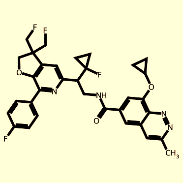 Cc1cc2cc(C(=O)NCC(c3cc4c(c(-c5ccc(F)cc5)n3)OCC4(CF)CF)C3(F)CC3)cc(OC3CC3)c2nn1